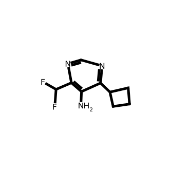 Nc1c(C(F)F)n[c]nc1C1CCC1